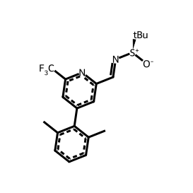 Cc1cccc(C)c1-c1cc(/C=N/[S@+]([O-])C(C)(C)C)nc(C(F)(F)F)c1